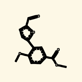 COC(=O)c1ccc(OC)c(-c2ccc(C=O)o2)c1